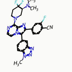 CN(C)[C@H]1CN(c2nccn3c(-c4ccc5c(c4)nnn5C)c(-c4ccc(C#N)c(F)c4)nc23)CCC1(F)F